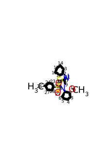 COc1ccccc1N(Cc1nc2ccccc2s1)S(=O)(=O)c1ccc(C)cc1